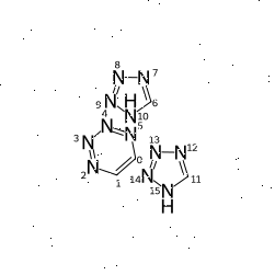 c1cnnnn1.c1nnn[nH]1.c1nnn[nH]1